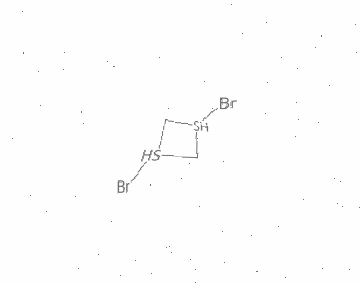 Br[SH]1C[SH](Br)C1